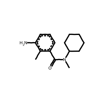 Cc1c(N)cccc1C(=O)N(C)C1CCCCC1